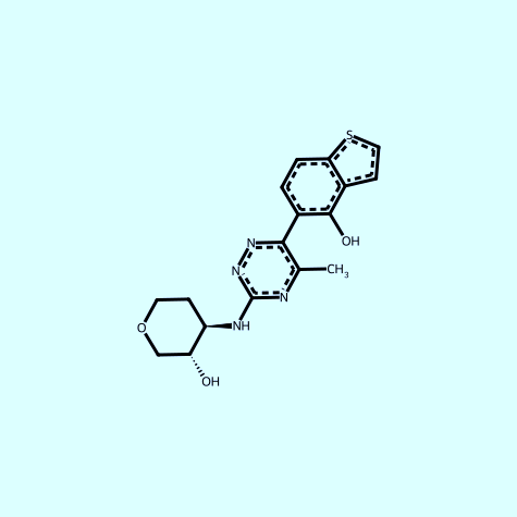 Cc1nc(N[C@@H]2CCOC[C@H]2O)nnc1-c1ccc2sccc2c1O